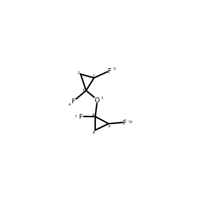 FC1CC1(F)OC1(F)CC1F